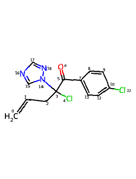 C=CCC(Cl)(C(=O)c1ccc(Cl)cc1)n1cncn1